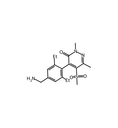 CCc1cc(CN)cc(CC)c1-c1c(S(C)(=O)=O)c(C)nn(C)c1=O